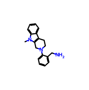 Cn1c2c(c3ccccc31)CCN(c1ccccc1CN)C2